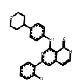 O=C1[N]C=Cc2cc(-c3ccccc3Cl)nc(Nc3ccc(C4CCOCC4)cc3)c21